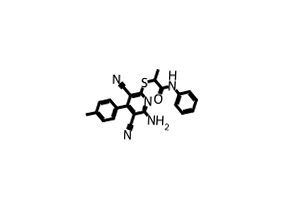 Cc1ccc(-c2c(C#N)c(N)nc(SC(C)C(=O)Nc3ccccc3)c2C#N)cc1